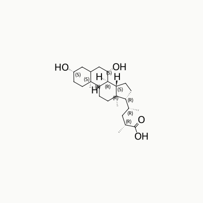 C[C@H](C[C@@H](C)[C@H]1CC[C@H]2[C@@H]3[C@@H](O)CC4C[C@@H](O)CC[C@]4(C)[C@H]3CC[C@]12C)C(=O)O